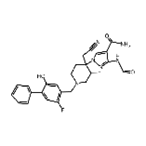 N#CCC1(n2cc(C(N)=O)c(NC=O)n2)CCN(Cc2cc(O)c(-c3ccccc3)cc2F)CC1F